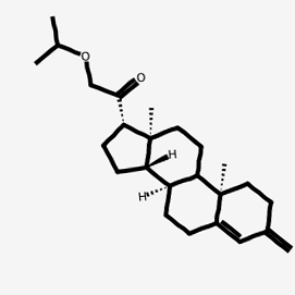 C=C1C=C2CC[C@@H]3C(CC[C@]4(C)[C@@H](C(=O)COC(C)C)CC[C@@H]34)[C@@]2(C)CC1